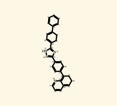 C1=C(c2ccccc2)CCC(c2nc(-c3ccc(C4=c5ncccc5=CCC4)cc3)n[nH]2)=C1